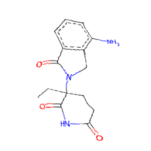 CCC1(N2Cc3c(N)cccc3C2=O)CCC(=O)NC1=O